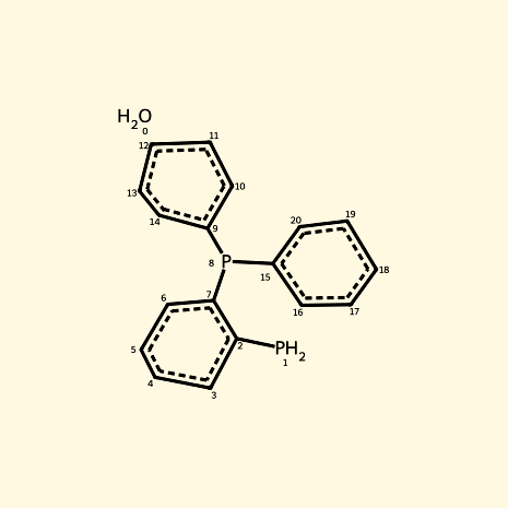 O.Pc1ccccc1P(c1ccccc1)c1ccccc1